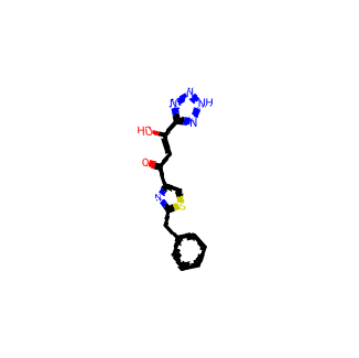 O=C(C=C(O)c1nn[nH]n1)c1csc(Cc2ccccc2)n1